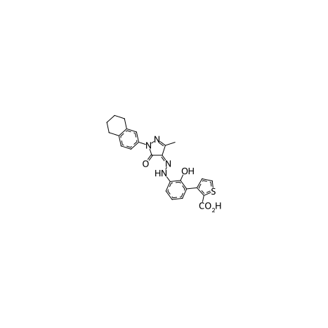 CC1=NN(c2ccc3c(c2)CCCC3)C(=O)C1=NNc1cccc(-c2ccsc2C(=O)O)c1O